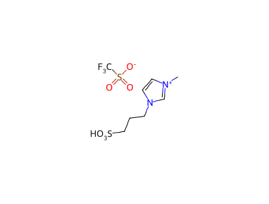 C[n+]1ccn(CCCS(=O)(=O)O)c1.O=S(=O)([O-])C(F)(F)F